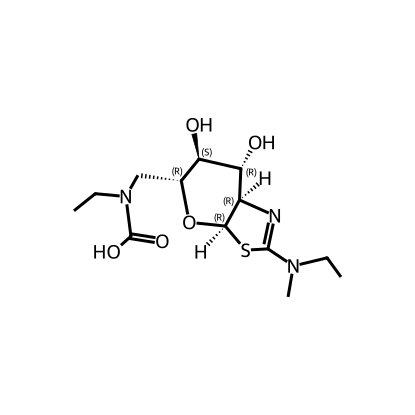 CCN(C)C1=N[C@@H]2[C@@H](O)[C@H](O)[C@@H](CN(CC)C(=O)O)O[C@@H]2S1